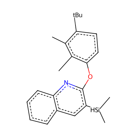 Cc1c(Oc2nc3ccccc3cc2[SiH](C)C)ccc(C(C)(C)C)c1C